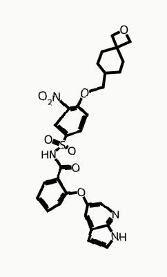 O=C(NS(=O)(=O)c1ccc(OCC2CCC3(CC2)COC3)c([N+](=O)[O-])c1)c1ccccc1Oc1cnc2[nH]ccc2c1